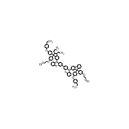 C=CC1=C(/C=C\C)C(c2ccc(OCCOCC)cc2)(c2ccc(Oc3ccc(C=C)cc3)cc2)c2cc(N(c3ccc(-c4ccc(N(c5ccc6c(c5)C(c5ccc(OCCOCC)cc5)(c5ccc(Oc7ccc(C=C)cc7)cc5)c5ccccc5-6)c5ccccc5F)cc4)cc3)c3ccccc3F)ccc21